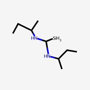 CCC(C)NC([SiH3])NC(C)CC